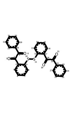 O=C(C(=O)c1ccccc1SSc1ccccc1C(=O)C(=O)c1ccccc1)c1ccccc1